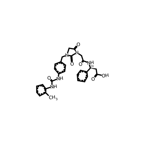 Cc1ccccc1NC(=O)Nc1ccc(CN2CC(=O)N(CC(=O)N[C@@H](CC(=O)O)c3ccccc3)C2=O)cc1